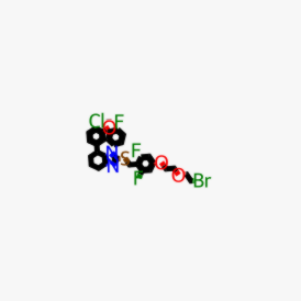 COc1cc(C2CCCc3nc(SCc4c(F)cc(OCCOCCBr)cc4F)n(-c4ccc(F)cc4)c32)ccc1Cl